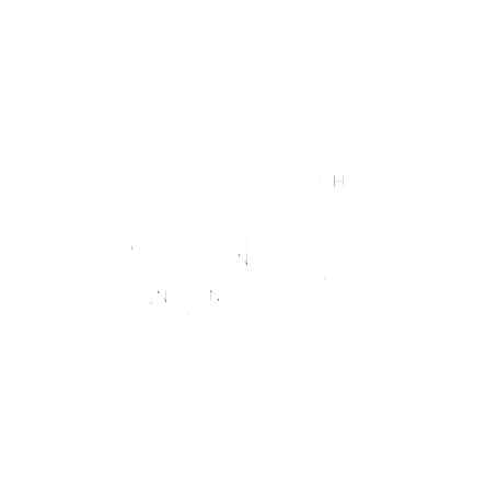 OC1CCc2cccc(Nc3cc(Cl)ncn3)c2C1